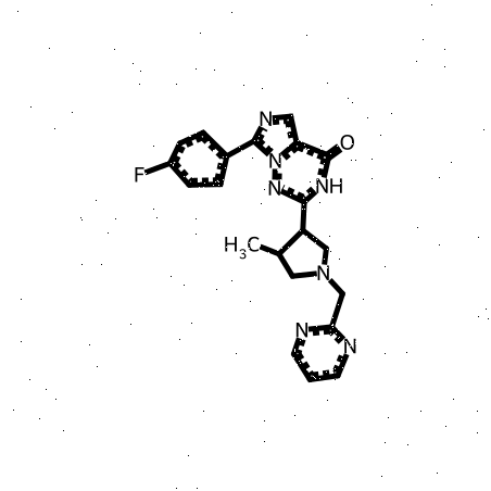 CC1CN(Cc2ncccn2)CC1c1nn2c(-c3ccc(F)cc3)ncc2c(=O)[nH]1